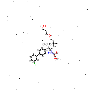 CCOC(=O)[C@](C)(CCOCCCO)C[C@@H](Cc1ccc(-c2cccc(Cl)c2)cc1)NC(=O)OC(C)(C)C